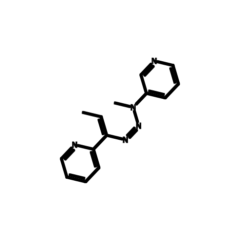 CC=C(/N=N\N(C)c1cccnc1)c1ccccn1